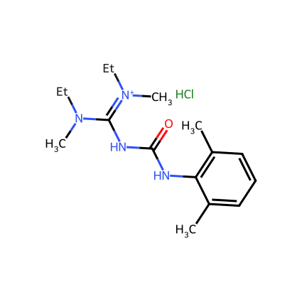 CCN(C)C(NC(=O)Nc1c(C)cccc1C)=[N+](C)CC.Cl